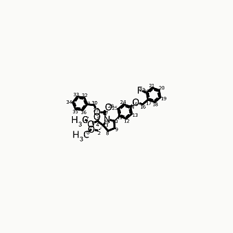 COC[C@@]1(C(=O)OC)CC[C@H](c2ccc(OCc3ccccc3F)cc2)N1C(=O)OCc1ccccc1